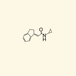 O=C(C=C1CCc2ccccc21)NC1CC1